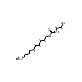 CCCCCCCCCCCCCCCCCCOC(=O)NCCBr